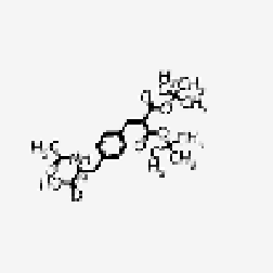 CC(=O)N[C@@H](Cc1ccc(C=C(C(=O)OC(C)(C)C)C(=O)OC(C)(C)C)cc1)C(=O)O